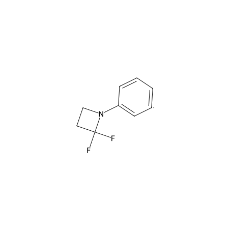 FC1(F)CCN1c1c[c]ccc1